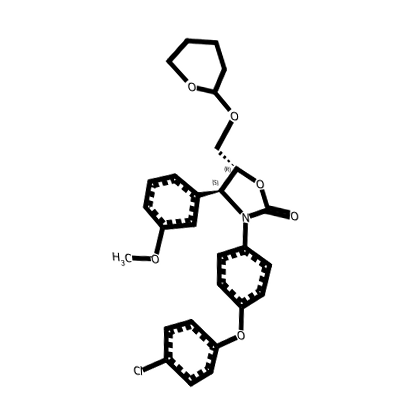 COc1cccc([C@H]2[C@H](COC3CCCCO3)OC(=O)N2c2ccc(Oc3ccc(Cl)cc3)cc2)c1